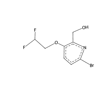 OCc1nc(Br)ccc1OCC(F)F